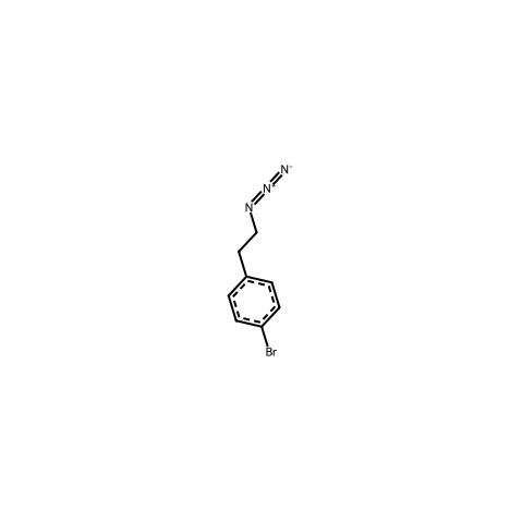 [N-]=[N+]=NCCc1ccc(Br)cc1